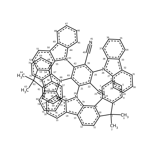 CC1(C)c2ccccc2-c2c1ccc1c3ccccc3n(-c3c(C#N)c(-n4c5ccccc5c5ccccc54)c(C#N)c(-n4c5ccccc5c5ccc6c(c54)-c4ccccc4C6(C)C)c3-n3c4ccccc4c4ccccc43)c21